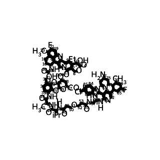 CC[C@@]1(O)C(=O)OCc2c1cc1n(c2=O)Cc2c-1nc1cc(F)c(C)c3c1c2[C@@H](NC(=O)OCc1ccc(NC(=O)[C@H](C)NC(=O)[C@@H](NC(=O)CCOCCC(=O)NCCNc2ncc(C4C=C(F)C=C(C)C4)c(N4CCC(N)CC4)c2-c2nc4ccc(Cl)cc4[nH]2)C(C)C)c(O[C@@H]2O[C@H](C(=O)O)C[C@H](O)[C@H]2O)c1)CC3